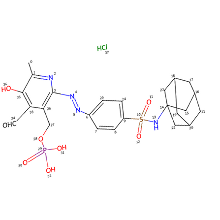 Cc1nc(N=Nc2ccc(S(=O)(=O)NC34CC5CC(CC(C5)C3)C4)cc2)c(COP(=O)(O)O)c(C=O)c1O.Cl